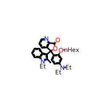 CCCCCCOc1cc(N(CC)CC)ccc1C1(c2c(C)n(CC)c3ccccc23)OC(=O)c2ncccc21